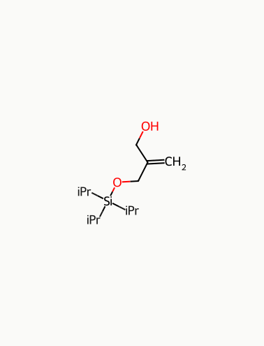 C=C(CO)CO[Si](C(C)C)(C(C)C)C(C)C